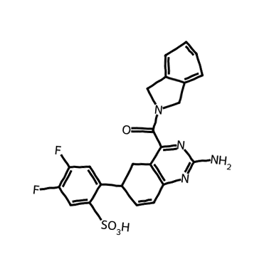 Nc1nc2c(c(C(=O)N3Cc4ccccc4C3)n1)CC(c1cc(F)c(F)cc1S(=O)(=O)O)C=C2